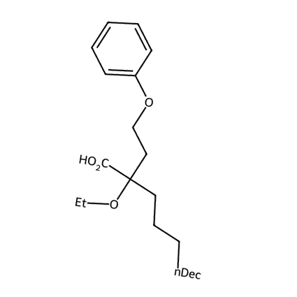 CCCCCCCCCCCCCC(CCOc1ccccc1)(OCC)C(=O)O